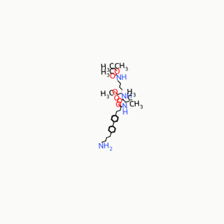 COC(=O)[C@H](CCCCNC(=O)OC(C)(C)C)NC(=O)[C@@H](NC(=O)CCc1ccc(-c2ccc(CCCCN)cc2)cc1)C(C)C